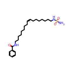 NS(=O)(=O)NCCCCCCC/C=C\CCCCCCCCNC(=O)c1ccccc1